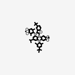 Cc1cc(C(C)(C)C)cc(C)c1N1c2cc3c(cc2B2c4oc5ccc(C(C)(C)C)cc5c4N(c4c(C)cc5c(c4C)OCO5)c4cc(C(C)C)cc1c42)OCO3